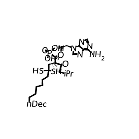 CCCCCCCCCCCCCCCCC(S)(S)C[C@H](C(=O)CC(C)C)[C@H](O[C@H](C)Cn1cnc2c(N)ncnc21)P(=O)(O)O